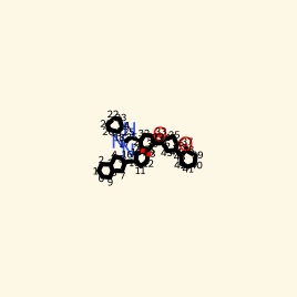 c1ccc2cc3c(cc2c1)c1ccccc1n3-c1nc2ccccc2nc1-c1ccc2c(c1)oc1cc3oc4ccccc4c3cc12